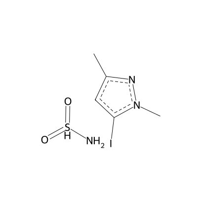 Cc1cc(I)n(C)n1.N[SH](=O)=O